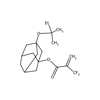 C=C(C(=O)OC12CC3CC(C1)CC(OC(C)(C)CC)(C3)C2)C(F)(F)F